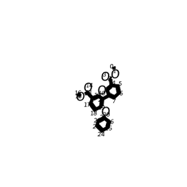 COC(=O)c1cccc2c1oc1c(C(=O)OC)ccc(Oc3ccccc3)c12